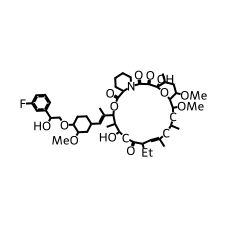 CCC1/C=C(\C)CC(C)CC(OC)C2OC(O)(C(=O)C(=O)N3CCCCC3C(=O)OC(C(C)=CC3CCC(OCC(O)c4cccc(F)c4)C(OC)C3)C(C)C(O)CC1=O)C(C)CC2OC